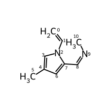 C=Cn1cc(C)cc1/C=N\C